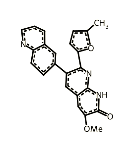 COc1cc2cc(-c3ccc4ncccc4c3)c(-c3ccc(C)o3)nc2[nH]c1=O